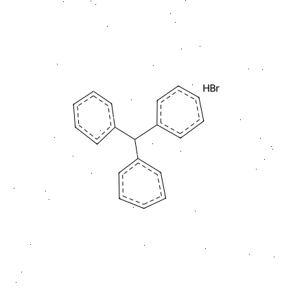 Br.c1ccc(C(c2ccccc2)c2ccccc2)cc1